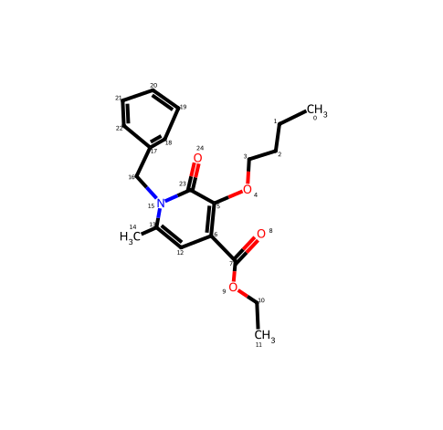 CCCCOc1c(C(=O)OCC)cc(C)n(Cc2ccccc2)c1=O